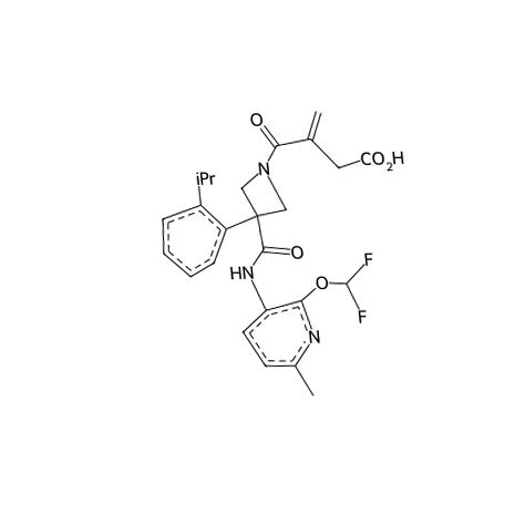 C=C(CC(=O)O)C(=O)N1CC(C(=O)Nc2ccc(C)nc2OC(F)F)(c2ccccc2C(C)C)C1